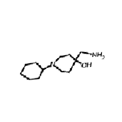 NCC1(O)CCN(C2CCCCC2)CC1